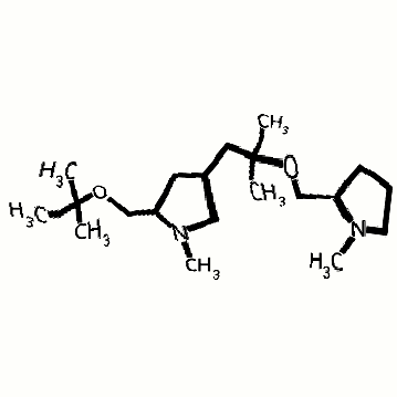 CN1CC(CC(C)(C)OC[C@H]2CCCN2C)CC1COC(C)(C)C